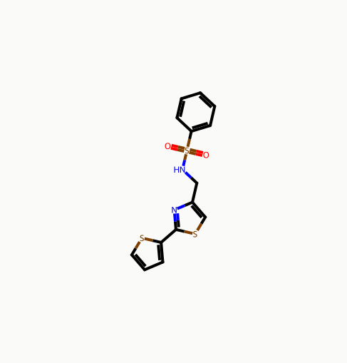 O=S(=O)(NCc1csc(-c2cccs2)n1)c1ccccc1